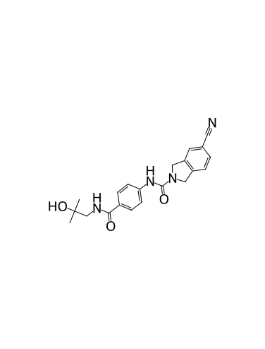 CC(C)(O)CNC(=O)c1ccc(NC(=O)N2Cc3ccc(C#N)cc3C2)cc1